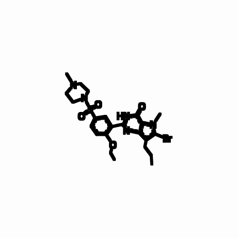 CCCc1c(Br)n(C)c2c(=O)[nH]c(-c3cc(S(=O)(=O)N4CCN(C)CC4)ccc3OCC)nc12